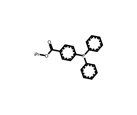 CC(C)OC(=O)c1ccc(P(c2ccccc2)c2ccccc2)cc1